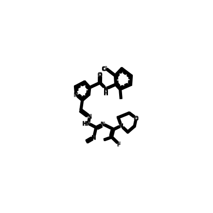 C=N/C(=N\C(=C(/C)F)N1CCOCC1)N/N=C/c1cc(C(=O)Nc2c(C)cccc2Cl)ccn1